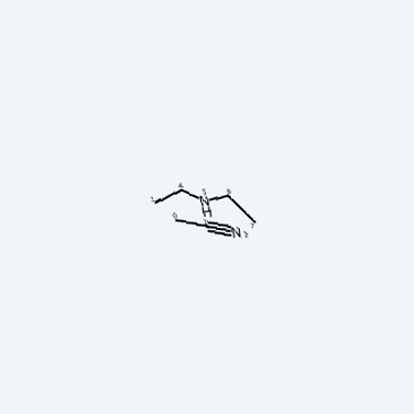 CC#N.CCNCC